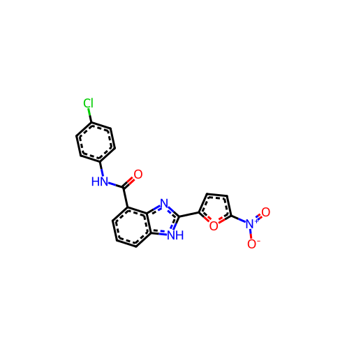 O=C(Nc1ccc(Cl)cc1)c1cccc2[nH]c(-c3ccc([N+](=O)[O-])o3)nc12